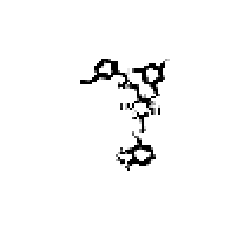 CCc1cccc(CNC[C@H](O)[C@@H](Cc2cc(F)cc(F)c2)NC(=O)COc2cccc3nsnc23)c1